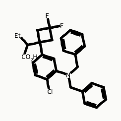 CCC(C(=O)O)C1(c2ccc(Cl)c(N(Cc3ccccc3)Cc3ccccc3)c2)CC(F)(F)C1